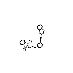 O=C1c2ccccc2C(=O)N1CCCc1cccc(C#Cc2ccc3ccccc3c2)c1